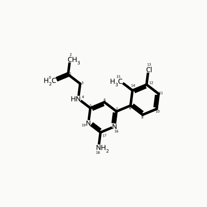 C=C(C)CNc1cc(-c2cccc(Cl)c2C)nc(N)n1